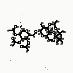 CC(=O)OC1[C@H](C)OC(CO[C@H]2OC3CO[Si](C(C)(C)C)(C(C)(C)C)O[C@@H]3[C@H](OC(C)=O)C2C)[C@@H](OC(C)=O)[C@@H]1OC(C)=O